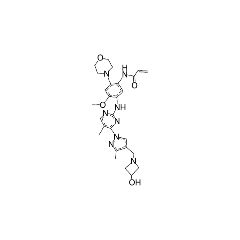 C=CC(=O)Nc1cc(Nc2ncc(C)c(-n3cc(CN4CC(O)C4)c(C)n3)n2)c(OC)cc1N1CCOCC1